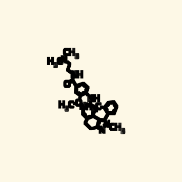 COc1cc(C(=O)NCCN(C)C)ccc1Nc1ncc2c(n1)-c1c(nn(C)c1-c1ccccc1C)CC2